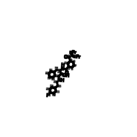 CCCN(CCC)C(=O)c1cccc(C(=O)N[C@@H](Cc2ccccc2)[C@H](O)CNCCc2ccc(F)cc2)c1